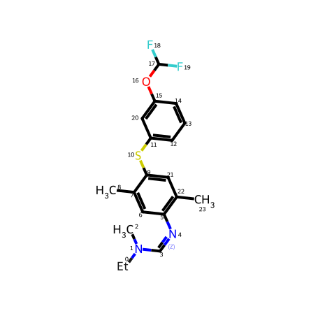 CCN(C)/C=N\c1cc(C)c(Sc2cccc(OC(F)F)c2)cc1C